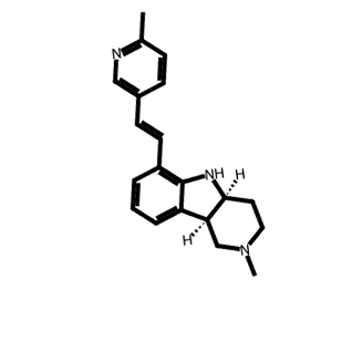 Cc1ccc(C=Cc2cccc3c2N[C@H]2CCN(C)C[C@@H]32)cn1